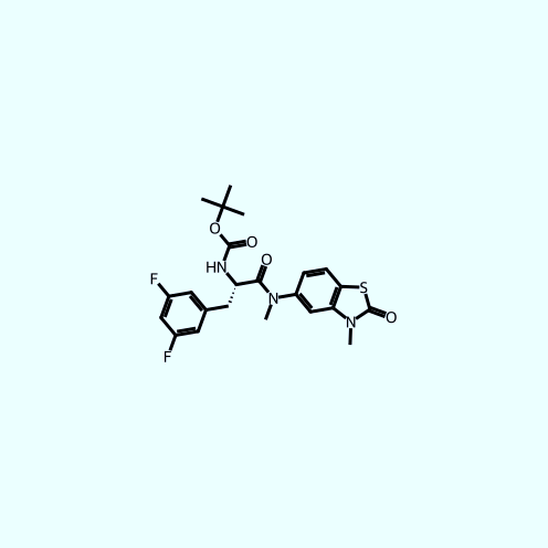 CN(C(=O)[C@H](Cc1cc(F)cc(F)c1)NC(=O)OC(C)(C)C)c1ccc2sc(=O)n(C)c2c1